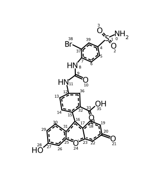 NS(=O)(=O)c1ccc(NC(=O)Nc2ccc(-c3c4ccc(=O)cc-4oc4cc(O)ccc34)c(C(=O)O)c2)c(Br)c1